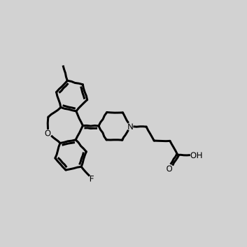 Cc1ccc2c(c1)COc1ccc(F)cc1C2=C1CCN(CCCC(=O)O)CC1